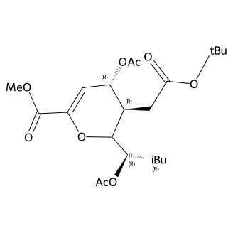 CC[C@@H](C)[C@@H](OC(C)=O)C1OC(C(=O)OC)=C[C@H](OC(C)=O)[C@H]1CC(=O)OC(C)(C)C